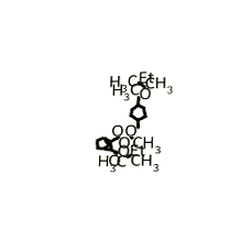 CCC(C)(C)OC(=O)C1C2CCC(C2)C1C(=O)OC(C)OCC1CCC(COC(C)C(C)(C)CC)CC1